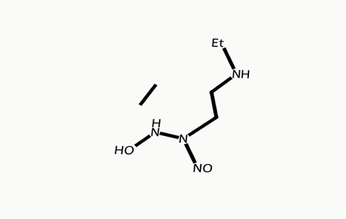 CC.CCNCCN(N=O)NO